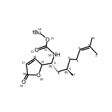 CC(C)=CCC[C@@H](C)C[C@@H](NC(=O)OC(C)(C)C)C1C=CC(=O)O1